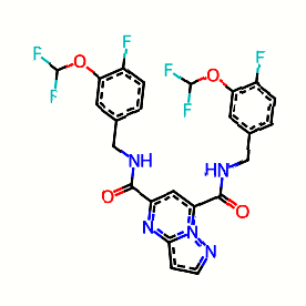 O=C(NCc1ccc(F)c(OC(F)F)c1)c1cc(C(=O)NCc2ccc(F)c(OC(F)F)c2)n2nccc2n1